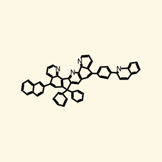 c1ccc(C2(c3ccccc3)c3cc4cc(-c5ccc(-c6ccc7ccccc7n6)cc5)c5cccnc5c4nc3-c3c2cc(-c2ccc4ccccc4c2)c2cccnc32)cc1